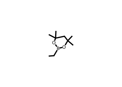 CCB1OC(C)(C)CC(C)(C)O1